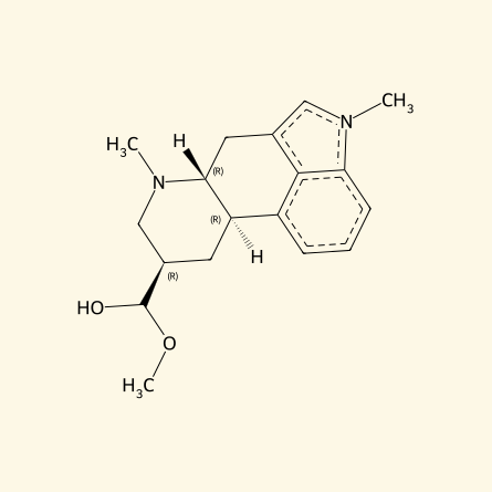 COC(O)[C@@H]1C[C@@H]2c3cccc4c3c(cn4C)C[C@H]2N(C)C1